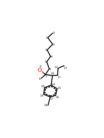 CCCCCCCC(C)([O])C(CCC)c1ccc(C)cc1